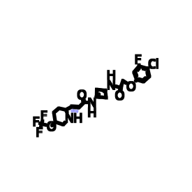 O=C(/C=C/C1CCC(OC(F)(F)F)CN1)NC12CC(NC(=O)COc3ccc(Cl)c(F)c3)(C1)C2